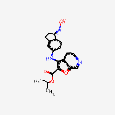 CC(C)OC(=O)c1oc2cnccc2c1Nc1ccc2c(c1)CC/C2=N\O